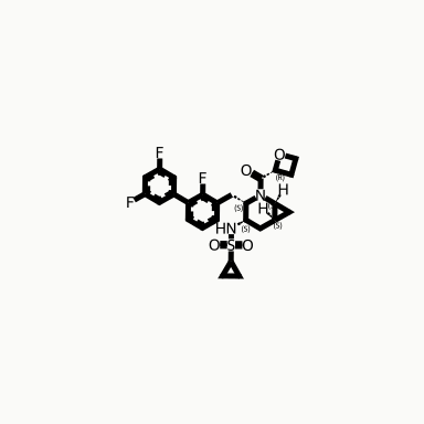 O=C([C@H]1CCO1)N1[C@H]2C[C@H]2C[C@H](NS(=O)(=O)C2CC2)[C@@H]1Cc1cccc(-c2cc(F)cc(F)c2)c1F